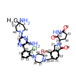 CC1(N)CCN(c2cnc(-c3cccc(N4CCN(Cc5ccc6c(c5Br)CN(C5CCC(=O)NC5=O)C6=O)CC4)c3Cl)c(N)n2)CC1